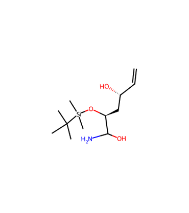 C=C[C@@H](O)C[C@H](O[Si](C)(C)C(C)(C)C)C(N)O